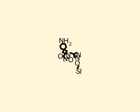 CN1C(=O)N(Cc2cnn(COCC[Si](C)(C)C)c2)C2(CC3(CCC(N)CC3)C2)C1=O